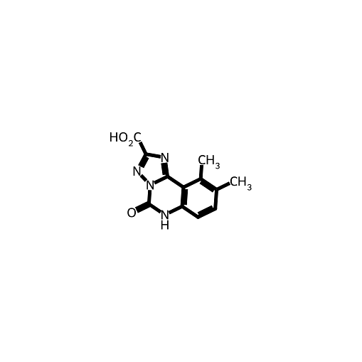 Cc1ccc2[nH]c(=O)n3nc(C(=O)O)nc3c2c1C